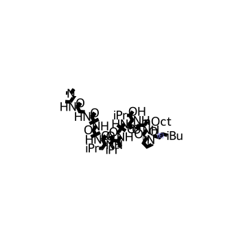 CCCCCCCCC(NC(=O)[C@@H]1CCCN1C(=O)/C=C/C(C)CC)C(=O)NC(C(=O)NC(C)(C)C(=O)NC(CC(C)C)C(=O)NC(CC(C)C)C(=O)NC(C)(C)C(=O)NC(C)(C)C(=O)NCCC(=O)NC(C)CN(C)C)C(O)C(C)C